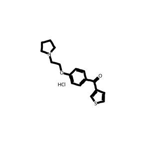 Cl.O=C(c1ccc(OCCN2CCCC2)cc1)c1ccsc1